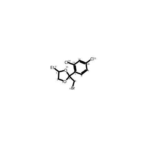 CCC1COC(CBr)(c2ccc(Cl)cc2Cl)O1